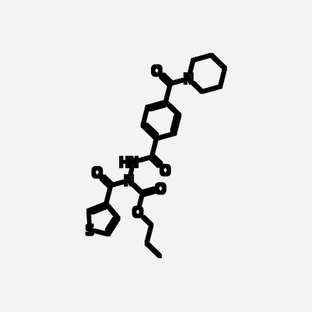 CCCOC(=O)N(NC(=O)c1ccc(C(=O)N2CCCCC2)cc1)C(=O)c1ccsc1